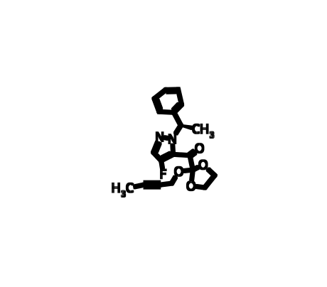 CC#CCOC1(C(=O)c2c(F)cnn2[C@H](C)c2ccccc2)OCCO1